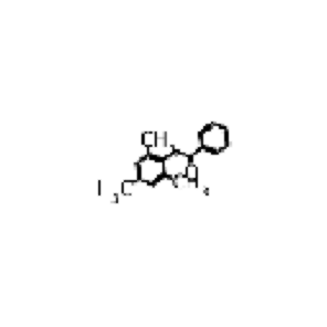 Cc1cc(C)c([CH]C(=O)c2ccccc2)c(C)c1